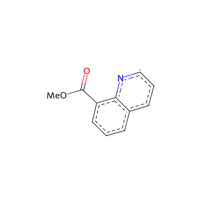 COC(=O)c1cccc2cc[c]nc12